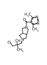 Cc1ncnc(C)c1C(=O)N1CC2CN(CC(C)(C)CCl)CC2C1